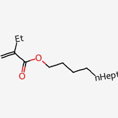 C=C(CC)C(=O)OCCCCCCCCCCC